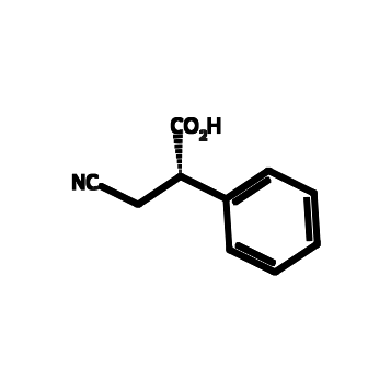 N#CC[C@H](C(=O)O)c1ccccc1